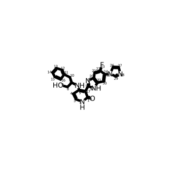 O=c1[nH]ccc(NC(CO)Cc2ccccc2)c1-c1nc2cc(F)c(-n3ccnc3)cc2[nH]1